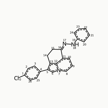 Clc1ccc(-c2cn3cccc4c3c2CC/C4=N/Nc2ccccc2)cc1